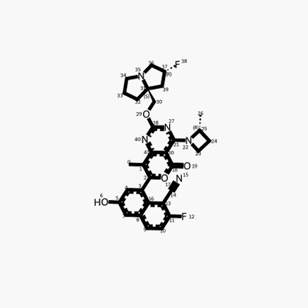 Cc1c(-c2cc(O)cc3ccc(F)c(C#N)c23)oc(=O)c2c(N3CC[C@H]3C)nc(OC[C@@]34CCCN3C[C@H](F)C4)nc12